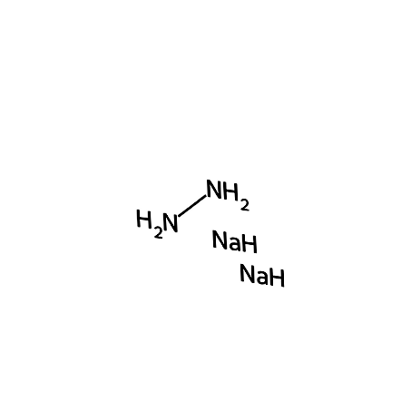 NN.[NaH].[NaH]